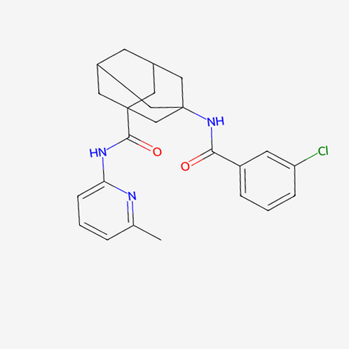 Cc1cccc(NC(=O)C23CC4CC(CC(NC(=O)c5cccc(Cl)c5)(C4)C2)C3)n1